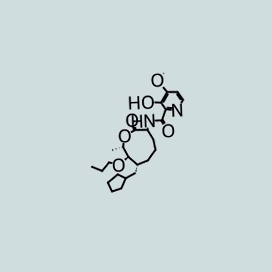 CCCO[C@@H]1[C@@H](CC2CCCC2)CCC[C@H](NC(=O)c2nccc(OC)c2O)C(=O)O[C@H]1C